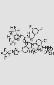 Cn1nc(NS(C)(=O)=O)c2c(Cl)ccc(-n3c([C@H](Cc4cc(F)cc(F)c4)NC(=O)Cn4nc(C(F)(F)F)c5c4C(F)(F)[C@@H]4C[C@H]54)nc4cc(-c5ccn(CC(F)(F)C(F)F)n5)ccc4c3=O)c21